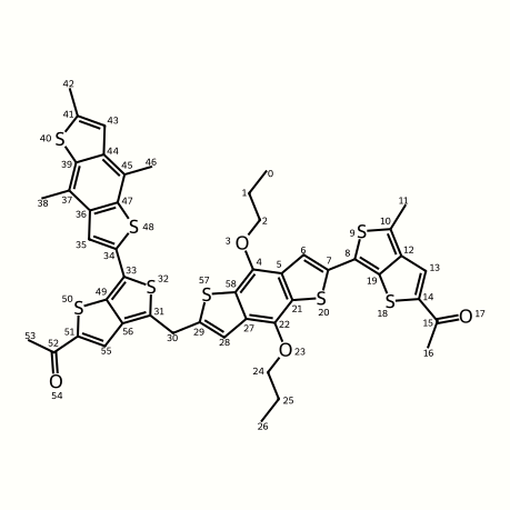 CCCOc1c2cc(-c3sc(C)c4cc(C(C)=O)sc34)sc2c(OCCC)c2cc(Cc3sc(-c4cc5c(C)c6sc(C)cc6c(C)c5s4)c4sc(C(C)=O)cc34)sc12